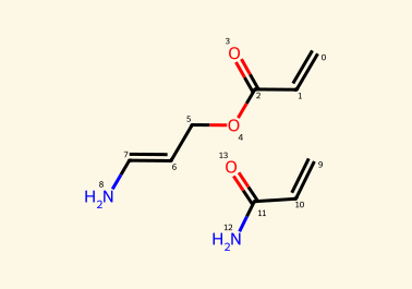 C=CC(=O)OCC=CN.C=CC(N)=O